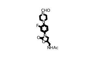 CC(=O)NCC1CN(c2ccc(N3CCN(C=O)CC3)c(F)c2)C(=O)O1